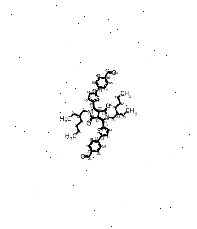 CCCCC(CC)CN1C(=O)C2=C(c3ccc(-c4ccc(C=O)cc4)s3)N(CC(CC)CCCC)C(=O)C2=C1c1ccc(-c2ccc(C=O)cc2)s1